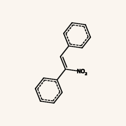 O=[N+]([O-])/C(=C\c1ccccc1)c1ccccc1